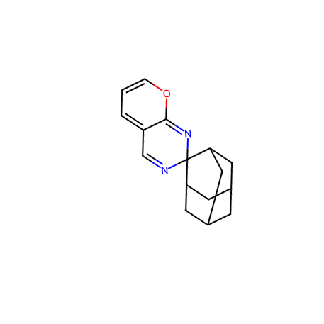 C1=COC2=NC3(N=CC2=C1)C1CC2CC(C1)CC3C2